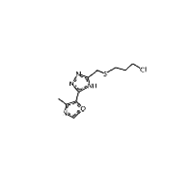 Cc1ncoc1-c1nnc(CSCCCCl)[nH]1